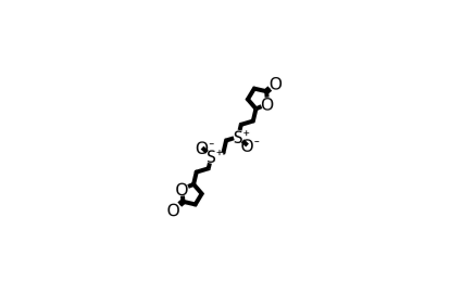 O=C1CCC(CC[S+]([O-])CC[S+]([O-])CCC2CCC(=O)O2)O1